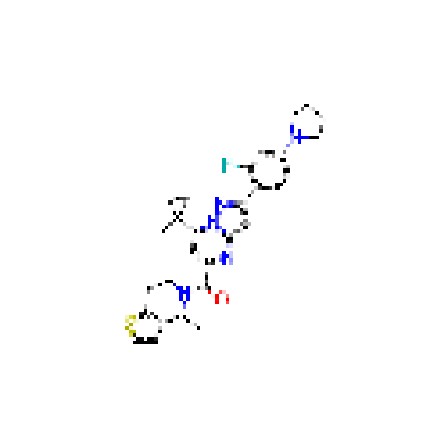 CC1c2ccsc2CCN1C(=O)c1cc(C2(C)CC2)n2nc(-c3ccc(N4CCCC4)cc3F)cc2n1